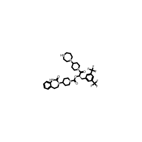 O=C(O[C@H](Cc1cc(C(F)(F)F)cc(C(F)(F)F)c1)C(=O)N1CCC(N2CCCNCC2)CC1)N1CCC(N2CCc3ccccc3NC2=O)CC1